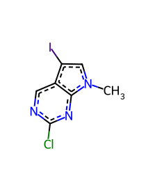 Cn1cc(I)c2cnc(Cl)nc21